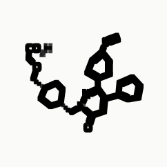 C#Sc1ccc(-c2nn(C[C@H]3CC[C@@H](COCC(=O)O)CC3)c(=O)cc2-c2ccccc2)cc1